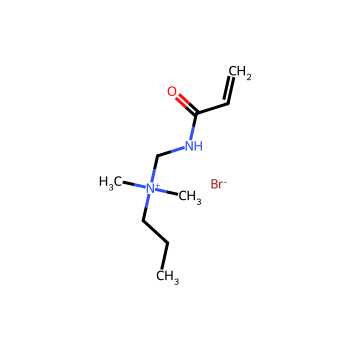 C=CC(=O)NC[N+](C)(C)CCC.[Br-]